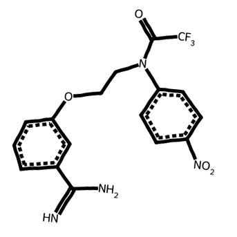 N=C(N)c1cccc(OCCN(C(=O)C(F)(F)F)c2ccc([N+](=O)[O-])cc2)c1